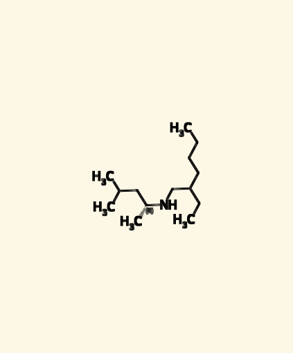 CCCCC(CC)CN[C@H](C)CC(C)C